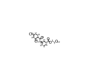 COCCOC(=O)c1ccc[n+](CC(=O)c2ccc(Cl)cc2Cl)c1